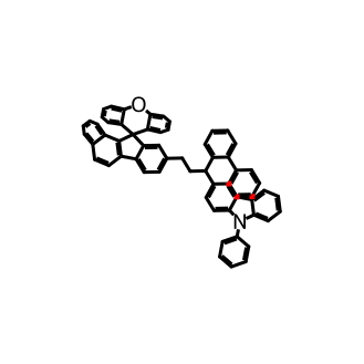 c1ccc(-c2ccccc2C(CCc2ccc3c(c2)C2(c4ccccc4Oc4ccccc42)c2c-3ccc3ccccc23)c2ccc3c(c2)c2ccccc2n3-c2ccccc2)cc1